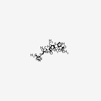 CC(NC(=O)CSc1nnnn1C)[C@H]1C(=O)N2C(C(=O)O)=C(S[C@@H]3CN[C@H](C(=O)N(C)C)C3)[C@H](C)[C@H]12